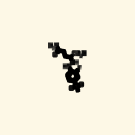 CS(=O)(=O)c1ccc(NN[C@@H](CCC(N)=O)C(=O)O)c(F)c1